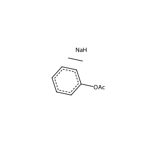 CC.CC(=O)Oc1ccccc1.[NaH]